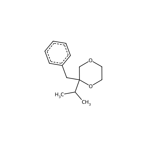 CC(C)C1(Cc2ccccc2)COCCO1